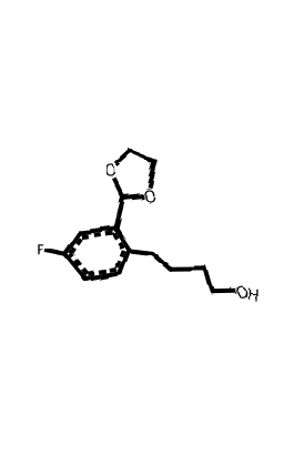 OCCCCc1ccc(F)cc1C1OCCO1